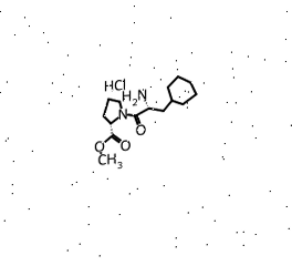 COC(=O)[C@@H]1CCCN1C(=O)[C@H](N)CC1CCCCC1.Cl